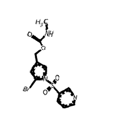 CNC(=O)OCc1cc(Br)n(S(=O)(=O)c2cccnc2)c1